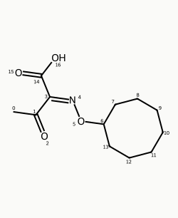 CC(=O)/C(=N\OC1CCCCCCC1)C(=O)O